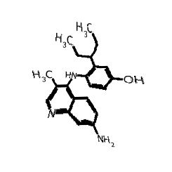 CCC(CC)c1cc(O)ccc1Nc1c(C)cnc2cc(N)ccc12